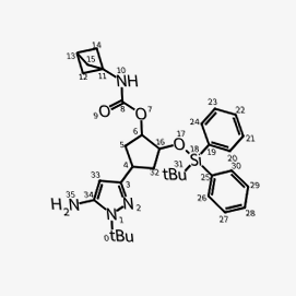 CC(C)(C)n1nc(C2CC(OC(=O)NC34CC(C3)C4)C(O[Si](c3ccccc3)(c3ccccc3)C(C)(C)C)C2)cc1N